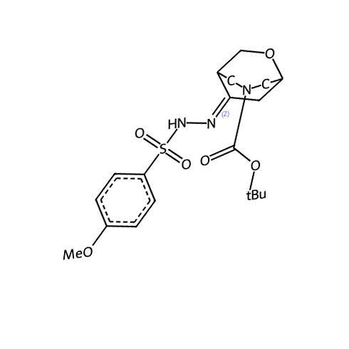 COc1ccc(S(=O)(=O)N/N=C2/CC3CN(C(=O)OC(C)(C)C)CC2CO3)cc1